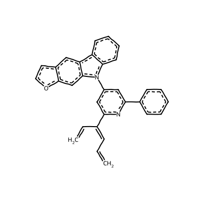 C=C/C=C(\C=C)c1cc(-n2c3ccccc3c3cc4ccoc4cc32)cc(-c2ccccc2)n1